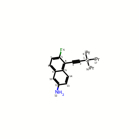 CC(C)[Si](C#Cc1c(F)ccc2cc(N)ccc12)(C(C)C)C(C)C